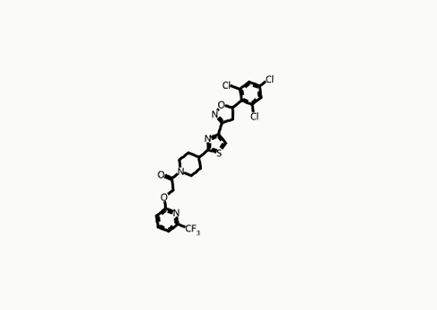 O=C(COc1cccc(C(F)(F)F)n1)N1CCC(c2nc(C3=NOC(c4c(Cl)cc(Cl)cc4Cl)C3)cs2)CC1